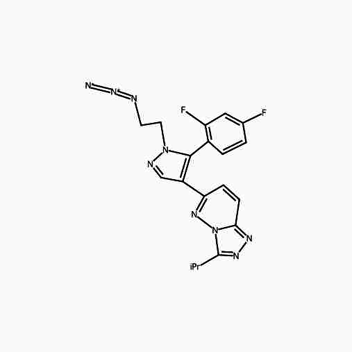 CC(C)c1nnc2ccc(-c3cnn(CCN=[N+]=[N-])c3-c3ccc(F)cc3F)nn12